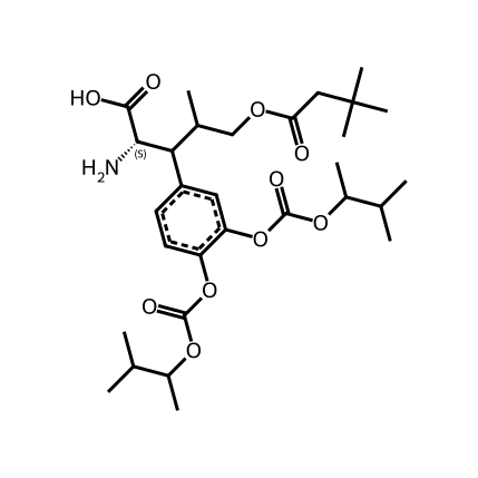 CC(C)C(C)OC(=O)Oc1ccc(C(C(C)COC(=O)CC(C)(C)C)[C@H](N)C(=O)O)cc1OC(=O)OC(C)C(C)C